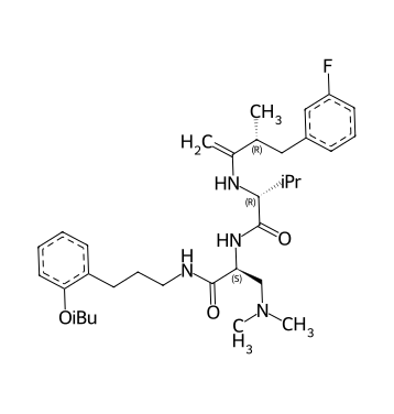 C=C(N[C@@H](C(=O)N[C@@H](CN(C)C)C(=O)NCCCc1ccccc1OCC(C)C)C(C)C)[C@H](C)Cc1cccc(F)c1